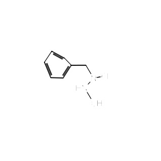 CNN(C)Cc1c[c]ccc1